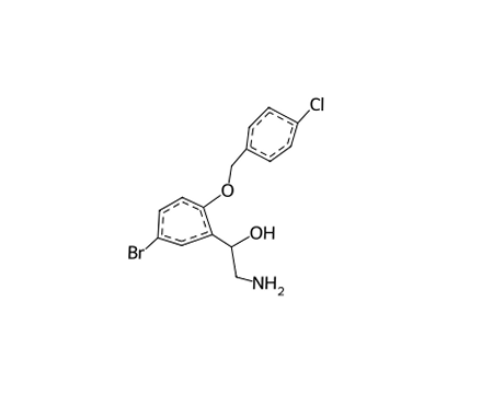 NCC(O)c1cc(Br)ccc1OCc1ccc(Cl)cc1